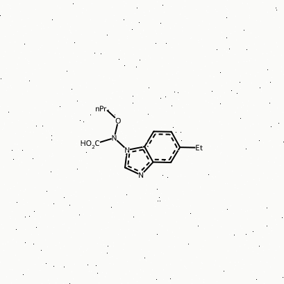 CCCON(C(=O)O)n1cnc2cc(CC)ccc21